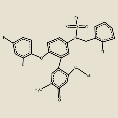 CCOc1cc(=O)n(C)cc1-c1cc(N(Cc2ccccc2Cl)S(=O)(=O)CC)ccc1Oc1ccc(F)cc1F